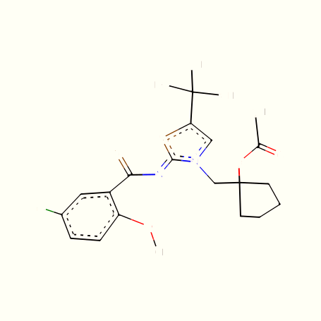 COc1ccc(Cl)cc1C(=S)N=c1sc(C(C)(C)C)cn1CC1(OC(C)=O)CCCC1